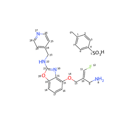 Cc1ccc(S(=O)(=O)O)cc1.NCC(=CF)COc1cccc2oc(NCc3ccncc3)nc12